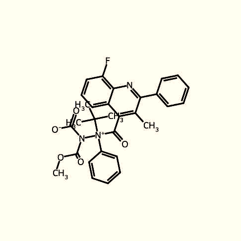 COC(=O)N(C(=O)[O-])[N+](C(=O)c1c(C)c(-c2ccccc2)nc2c(F)cccc12)(c1ccccc1)C(C)(C)C